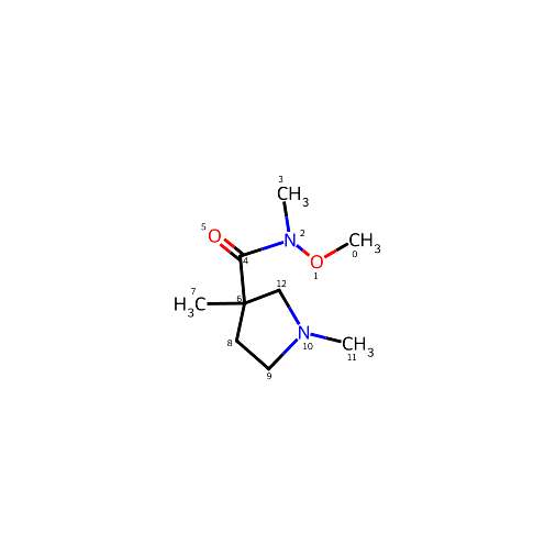 CON(C)C(=O)C1(C)CCN(C)C1